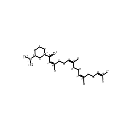 CCN(CC)C1CCCN(C(=O)C=C(C)CCC=C(C)CCC=C(C)CCC=C(C)C)C1